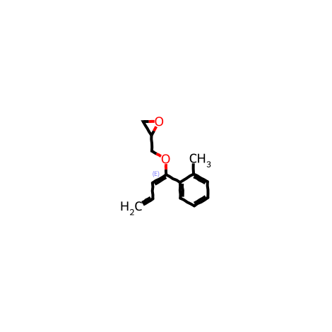 C=C/C=C(/OCC1CO1)c1ccccc1C